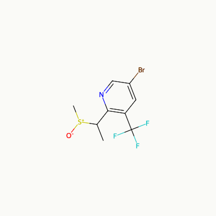 CC(c1ncc(Br)cc1C(F)(F)F)[S+](C)[O-]